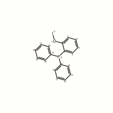 IOc1ccccc1P(c1ccccc1)c1ccccc1